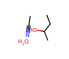 CC#N.CCC(C)O.O